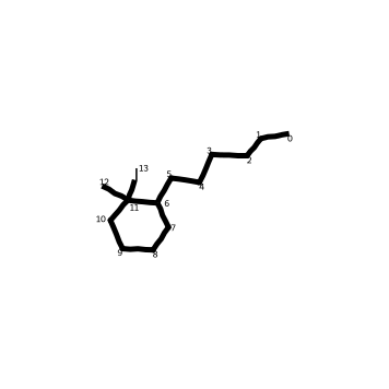 CCCCCCC1CCCCC1(C)I